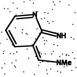 CN/C=C1/C=CC=NC1=N